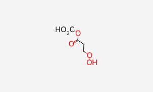 O=C(O)OC(=O)CCOO